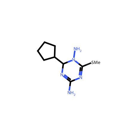 CSC1=NC(N)=NC(C2CCCC2)N1N